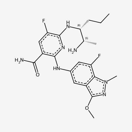 CCC[C@@H](Nc1nc(Nc2cc(F)c3c(c2)c(OC)nn3C)c(C(N)=O)cc1F)[C@H](C)N